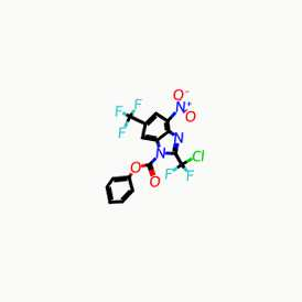 O=C(Oc1ccccc1)n1c(C(F)(F)Cl)nc2c([N+](=O)[O-])cc(C(F)(F)F)cc21